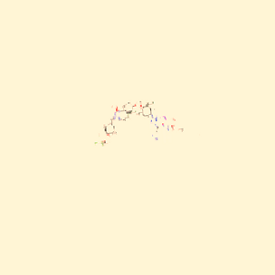 CCOC(=O)NC(=O)C(C#N)=NNc1cc(Cl)c(Oc2ccc3c(c2)CCN(Cc2ccc(OC(F)(F)F)cc2)C3=O)c(Cl)c1